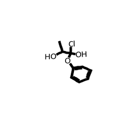 CC(O)C(O)(Cl)Oc1ccccc1